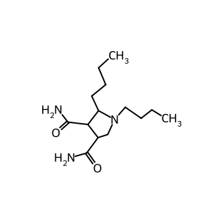 CCCCC1C(C(N)=O)C(C(N)=O)CN1CCCC